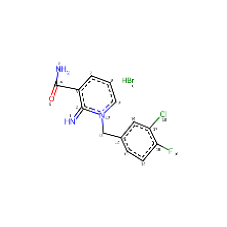 Br.N=c1c(C(N)=O)cccn1Cc1ccc(F)c(Cl)c1